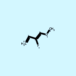 C=C/C(F)=C/OC